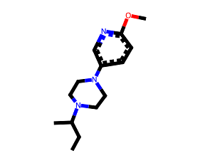 CCC(C)N1CCN(c2ccc(OC)nc2)CC1